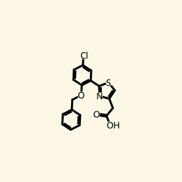 O=C(O)Cc1csc(-c2cc(Cl)ccc2OCc2ccccc2)n1